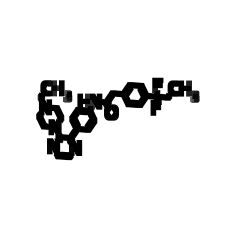 CCN1CCN(c2nccnc2-c2ccc(NC(=O)Cc3ccc(C(F)(F)CC)cc3)cc2)CC1